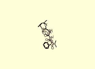 CC1=CC(C)=NC(NC(=O)NS(=O)(=O)c2ccccc2S(=O)(=O)N(C)C)N1C(=O)O